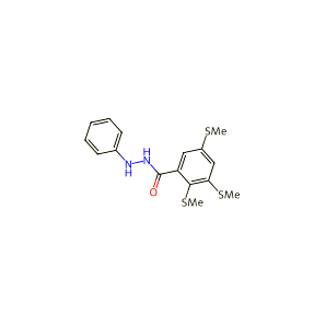 CSc1cc(SC)c(SC)c(C(=O)NNc2ccccc2)c1